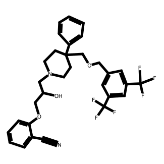 N#Cc1ccccc1OCC(O)CN1CCC(COCc2cc(C(F)(F)F)cc(C(F)(F)F)c2)(c2ccccc2)CC1